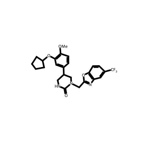 COc1ccc(C2CNC(=O)N(Cc3nc4cc(C(F)(F)F)ccc4o3)C2)cc1OC1CCCC1